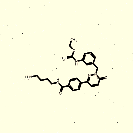 C=C(Nc1cccc(Cn2nc(-c3ccc(C(=O)NCCCCN)cc3)ccc2=O)c1)OCC